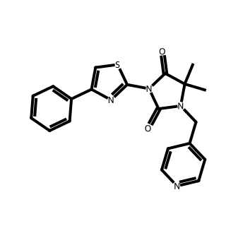 CC1(C)C(=O)N(c2nc(-c3ccccc3)cs2)C(=O)N1Cc1ccncc1